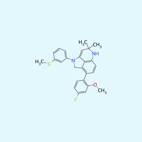 COc1cc(F)ccc1-c1ccc2c3c1CN(c1cccc(SC)c1)C3=CC(C)(C)N2